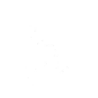 C=CC(=O)N1CCN(/C(=N/C)c2cc(Cl)c(-c3c(O)cccc3F)nc2N(C=O)c2c[nH]nc2C2CC2)C(C)C1